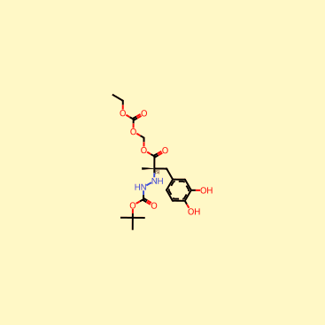 CCOC(=O)OCOC(=O)[C@](C)(Cc1ccc(O)c(O)c1)NNC(=O)OC(C)(C)C